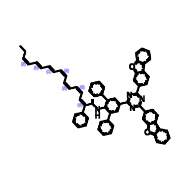 C=C(Nc1c(-c2ccccc2)cc(-c2nc(-c3ccc4c(c3)oc3ccccc34)nc(-c3ccc4c(c3)oc3ccccc34)n2)cc1-c1ccccc1)\C(=C/C=C\C=C/C=C\C=C\C=C\C=C/CC)c1ccccc1